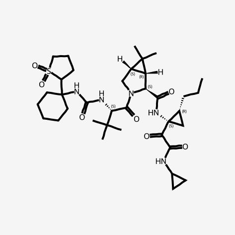 CCC[C@@H]1C[C@@]1(NC(=O)[C@@H]1[C@@H]2[C@H](CN1C(=O)[C@@H](NC(=O)NC1(C3CCCS3(=O)=O)CCCCC1)C(C)(C)C)C2(C)C)C(=O)C(=O)NC1CC1